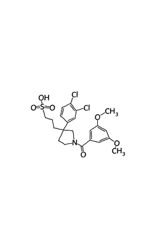 COc1cc(OC)cc(C(=O)N2CCC(CCCS(=O)(=O)O)(c3ccc(Cl)c(Cl)c3)C2)c1